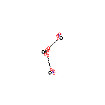 O=C(OCCCCCCCCCOc1ccccc1[N+](=O)[O-])OB(OC(=O)OCCCCCCCCCOc1ccccc1[N+](=O)[O-])c1ccccc1